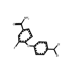 CCC(CC)c1ccc(Oc2ccc(C(N)=O)cc2F)cc1